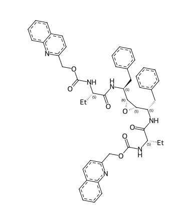 CC[C@H](NC(=O)OCc1ccc2ccccc2n1)C(=O)N[C@@H](Cc1ccccc1)[C@@H]1O[C@@H]1[C@H](Cc1ccccc1)NC(=O)[C@H](CC)NC(=O)OCc1ccc2ccccc2n1